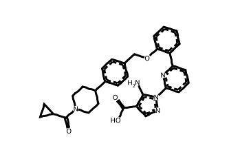 Nc1c(C(=O)O)cnn1-c1cccc(-c2ccccc2OCc2ccc(C3CCN(C(=O)C4CC4)CC3)cc2)n1